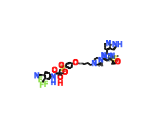 C[C@@H]1CN(CCCCCOc2ccc(S(=O)(=O)C[C@](C)(O)C(=O)Nc3ccc(C#N)c(C(F)(F)F)c3)cc2)CCN1c1cc(C2([SH](C)(N)=O)CC2)nc(-c2ccnc3[nH]ccc23)n1